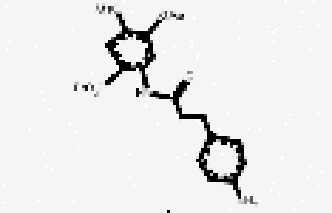 CCOC(=O)c1cc(OC)c(OC)cc1NC(=O)CCc1ccc(N)cc1